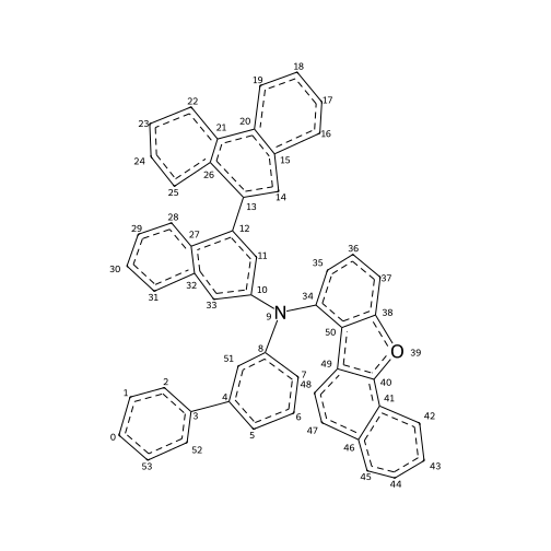 c1ccc(-c2cccc(N(c3cc(-c4cc5ccccc5c5ccccc45)c4ccccc4c3)c3cccc4oc5c6ccccc6ccc5c34)c2)cc1